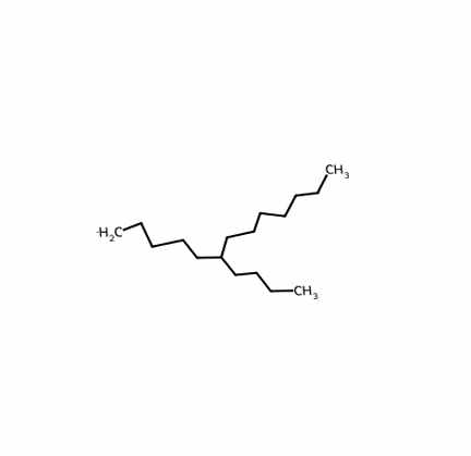 [CH2]CCCCC(CCCC)CCCCCCC